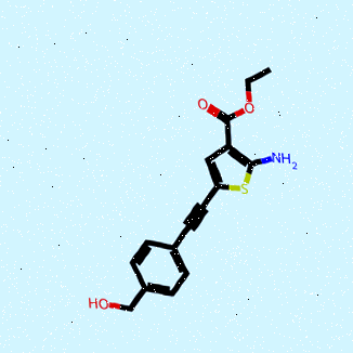 CCOC(=O)c1cc(C#Cc2ccc(CO)cc2)sc1N